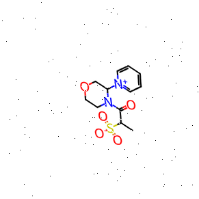 CC(C(=O)N1CCOCC1[n+]1ccccc1)S(=O)(=O)[O-]